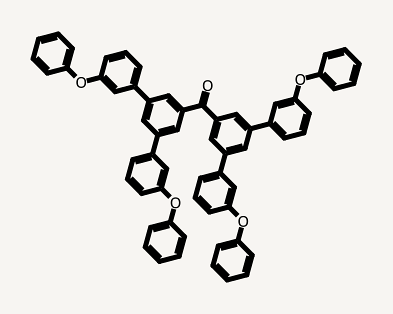 O=C(c1cc(-c2cccc(Oc3ccccc3)c2)cc(-c2cccc(Oc3ccccc3)c2)c1)c1cc(-c2cccc(Oc3ccccc3)c2)cc(-c2cccc(Oc3ccccc3)c2)c1